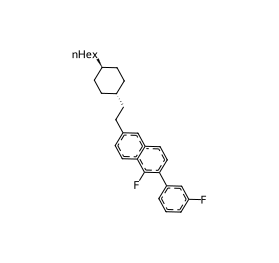 CCCCCC[C@H]1CC[C@H](CCc2ccc3c(F)c(-c4cccc(F)c4)ccc3c2)CC1